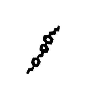 CCCCC[C@H]1CC[C@H](c2ccc(CC[C@H]3CC[C@H](CCC)CC3)cc2)CC1